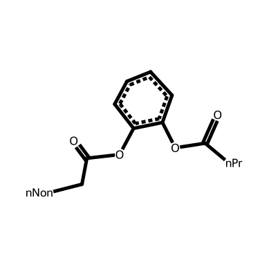 CCCCCCCCCCC(=O)Oc1ccccc1OC(=O)CCC